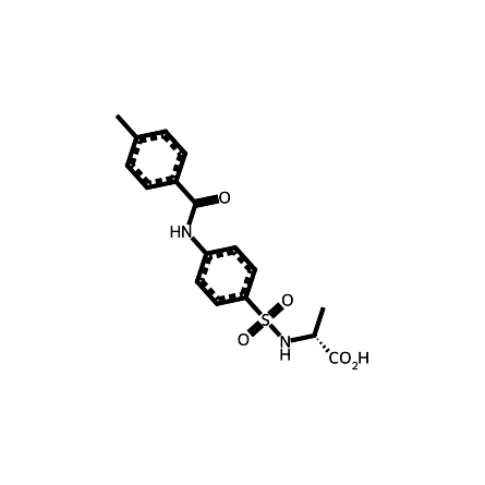 Cc1ccc(C(=O)Nc2ccc(S(=O)(=O)N[C@H](C)C(=O)O)cc2)cc1